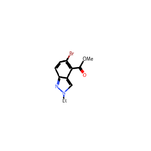 CCn1cc2c(C(=O)OC)c(Br)ccc2n1